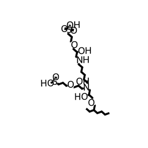 CCCCC(CC)COCC(O)CN(CCCCCCNCC(O)COCCCS(=O)(=O)O)CC(O)COCCCS(=O)O